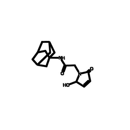 O=C(CN1C(=O)C=CC1O)NC12CC3CC(CC(C3)C1)C2